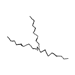 CCCCCCCCN(CCCCCCCC)CCCCCCCC